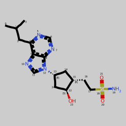 CC(C)Cc1ncnc2c1ncn2[C@@H]1C[C@H](CCS(N)(=O)=O)[C@@H](O)C1